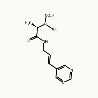 C[C@H](C(=O)NC/C=C/c1cncnc1)N(C(=O)O)C(C)(C)C